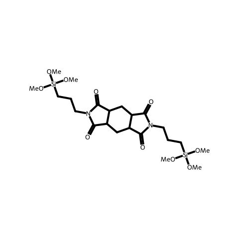 CO[Si](CCCN1C(=O)C2CC3C(=O)N(CCC[Si](OC)(OC)OC)C(=O)C3CC2C1=O)(OC)OC